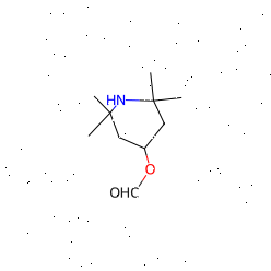 CC1(C)CC(OC=O)CC(C)(C)N1